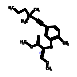 CCC[Si](C)(C)C#Cc1ccc(C)c(O/C(=C\OC)C(=O)OC)c1